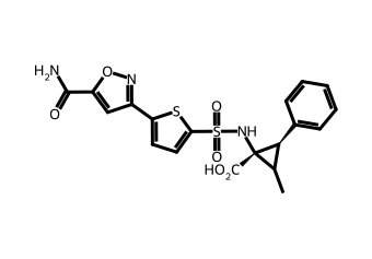 CC1[C@H](c2ccccc2)[C@]1(NS(=O)(=O)c1ccc(-c2cc(C(N)=O)on2)s1)C(=O)O